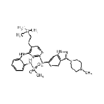 CN1CCN(c2n[nH]c3cc(Nc4ncc(CC[Si](C)(C)C)c(Nc5ccccc5NS(C)(=O)=O)n4)ccc23)CC1